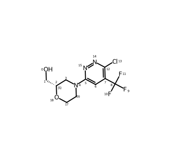 OC[C@@H]1CN(c2cc(C(F)(F)F)c(Cl)nn2)CCO1